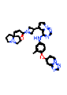 Cc1cc(Nc2ncnn3ccc(C4CN(C(=O)/C=C\C56CCCN5CCC6)C4)c23)ccc1Oc1ccn2ncnc2c1